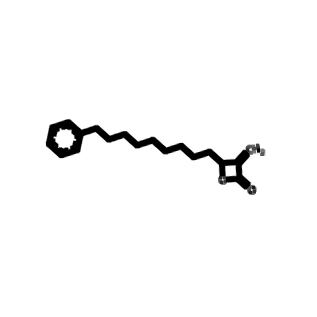 C=C1C(=O)OC1CCCCCCCCCc1ccccc1